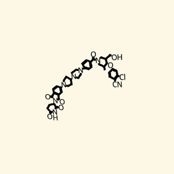 CC1CN(C(=O)c2ccc(N3CCN(C4CCN(c5ccc6c(c5)C(=O)N(C5CCC(=O)NC5=O)C6=O)CC4)CC3)cc2)CC(CO)C1Oc1ccc(C#N)c(Cl)c1